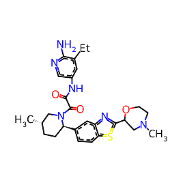 CCc1cc(NC(=O)C(=O)N2C[C@@H](C)CC[C@@H]2c2ccc3sc(C4CN(C)CCO4)nc3c2)cnc1N